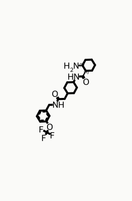 N[C@H]1CCCC[C@H]1C(=O)NC1CCC(CC(=O)NCc2cccc(OC(F)(F)F)c2)CC1